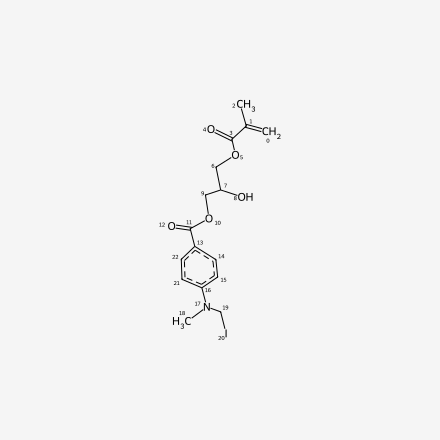 C=C(C)C(=O)OCC(O)COC(=O)c1ccc(N(C)CI)cc1